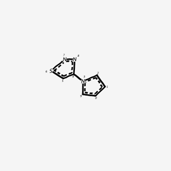 c1ccn(-c2csnn2)c1